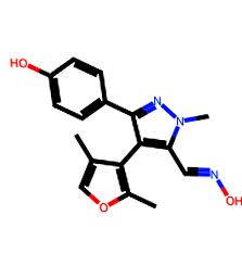 Cc1coc(C)c1-c1c(-c2ccc(O)cc2)nn(C)c1C=NO